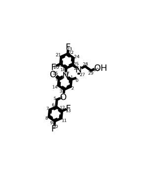 Cc1cc(OCc2ccc(F)cc2F)cc(=O)n1-c1c(F)cc(F)cc1N(C)CCO